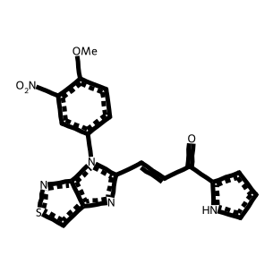 COc1ccc(-n2c(C=CC(=O)c3ccc[nH]3)nc3csnc32)cc1[N+](=O)[O-]